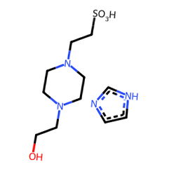 O=S(=O)(O)CCN1CCN(CCO)CC1.c1c[nH]cn1